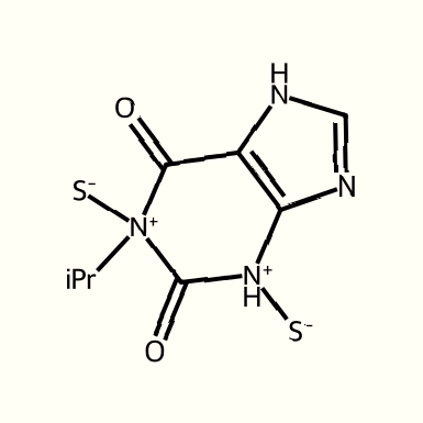 CC(C)[N+]1([S-])C(=O)c2[nH]cnc2[NH+]([S-])C1=O